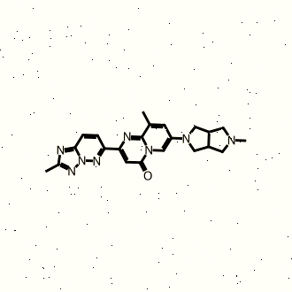 Cc1nc2ccc(-c3cc(=O)n4cc(N5CC6CN(C)CC6C5)cc(C)c4n3)nn2n1